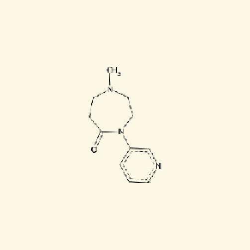 CN1CCC(=O)N(c2cc[c]nc2)CC1